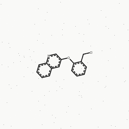 ClCc1ccccc1Oc1cnc2ccccc2c1